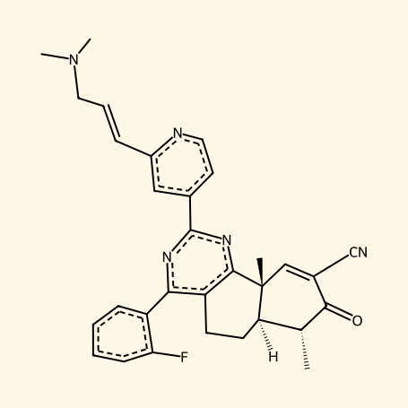 C[C@H]1C(=O)C(C#N)=C[C@@]2(C)c3nc(-c4ccnc(C=CCN(C)C)c4)nc(-c4ccccc4F)c3CC[C@H]12